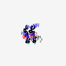 C[C@H](N(Cc1ccc(F)cc1)C(=O)CN1C(=O)NC2(CCc3c(C4=CCNCC4)cccc32)C1=O)C(F)(F)F.C[C@H](N(Cc1ccc(F)cc1)C(=O)CN1C(=O)NC2(CCc3c(C4CCNCC4)cccc32)C1=O)C(F)(F)F